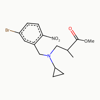 COC(=O)C(C)CN(Cc1cc(Br)ccc1[N+](=O)[O-])C1CC1